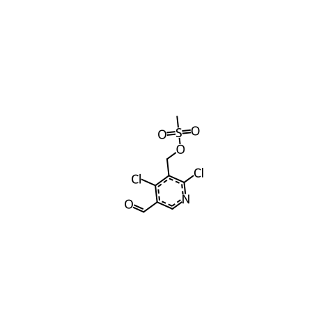 CS(=O)(=O)OCc1c(Cl)ncc(C=O)c1Cl